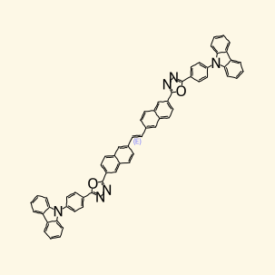 C(=C\c1ccc2cc(-c3nnc(-c4ccc(-n5c6ccccc6c6ccccc65)cc4)o3)ccc2c1)/c1ccc2cc(-c3nnc(-c4ccc(-n5c6ccccc6c6ccccc65)cc4)o3)ccc2c1